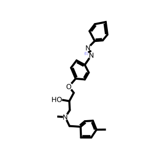 Cc1ccc(CN(C)CC(O)COc2ccc(/N=N/c3ccccc3)cc2)cc1